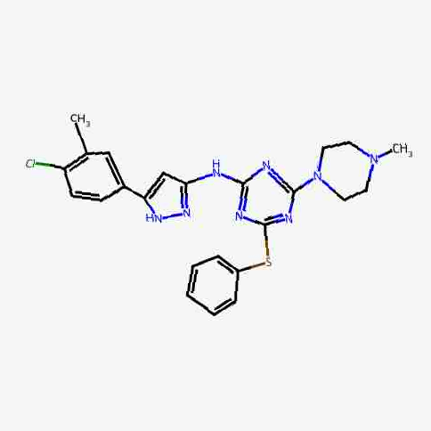 Cc1cc(-c2cc(Nc3nc(Sc4ccccc4)nc(N4CCN(C)CC4)n3)n[nH]2)ccc1Cl